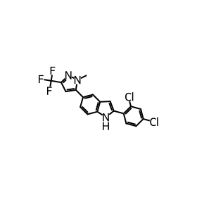 Cn1nc(C(F)(F)F)cc1-c1ccc2[nH]c(-c3ccc(Cl)cc3Cl)cc2c1